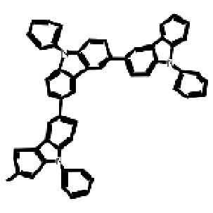 Cc1ccc2c3cc(-c4ccc5c(c4)c4cc(-c6ccc7c(c6)c6ccccc6n7-c6ccccc6)ccc4n5-c4ccccc4)ccc3n(-c3ccccc3)c2c1